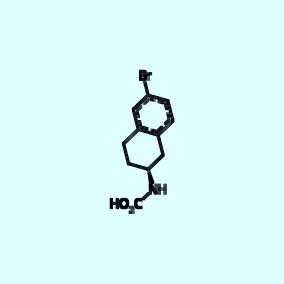 O=C(O)N[C@H]1CCc2cc(Br)ccc2C1